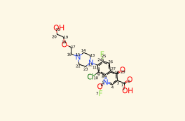 O=C(O)c1cn(OF)c2c(Cl)c(N3CCN(CCOCCO)CC3)c(F)cc2c1=O